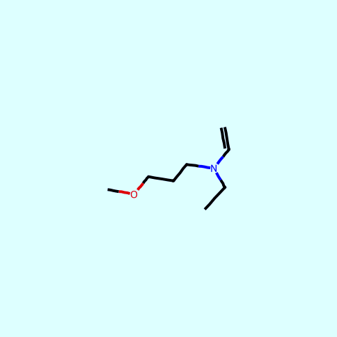 C=CN(CC)CCCOC